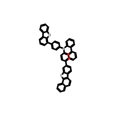 c1ccc(-c2ccccc2N(c2ccc(-c3ccc4c(c3)sc3c5ccccc5ccc43)cc2)c2ccc(-c3cccc4c3oc3ccccc34)cc2)cc1